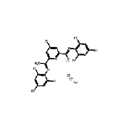 CCc1cc(CC)c(N=C(C)c2cc(Cl)cc(C(C)=Nc3c(CC)cc(CC)cc3CC)n2)c(CC)c1.[Cl-].[Cl-].[Fe+2]